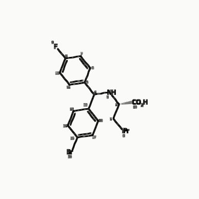 CC(C)C[C@H](NC(c1ccc(F)cc1)c1ccc(Br)cc1)C(=O)O